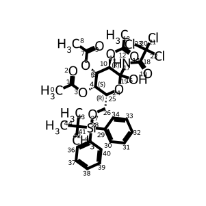 CC(=O)O[C@@H]1[C@H](OC(C)=O)[C@@H](OC(C)=O)C(O)(NC(=O)C(Cl)(Cl)Cl)O[C@@H]1CO[Si](c1ccccc1)(c1ccccc1)C(C)(C)C